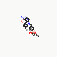 CCCCCc1c[c]c2c3c(C(N)=O)cccc3n(Cc3ccc(S(C)(=O)=O)cc3)c2c1